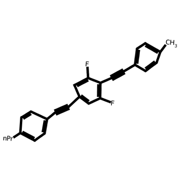 CCCc1ccc(C#Cc2cc(F)c(C#Cc3ccc(C)cc3)c(F)c2)cc1